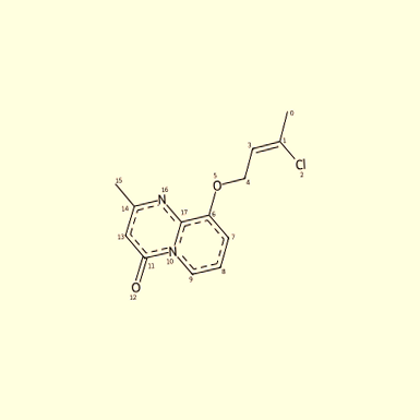 CC(Cl)=CCOc1cccn2c(=O)cc(C)nc12